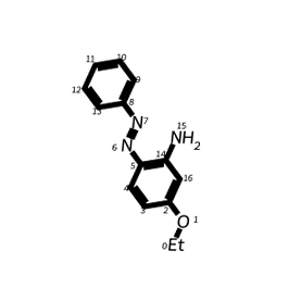 CCOc1ccc(N=Nc2ccccc2)c(N)c1